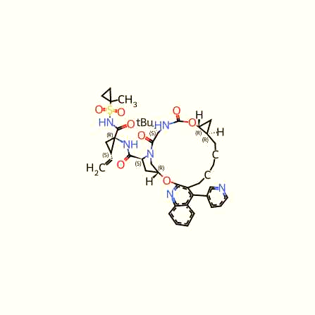 C=C[C@@H]1C[C@]1(NC(=O)[C@@H]1C[C@@H]2CN1C(=O)[C@H](C(C)(C)C)NC(=O)O[C@@H]1C[C@H]1CCCCCc1c(nc3ccccc3c1-c1cccnc1)O2)C(=O)NS(=O)(=O)C1(C)CC1